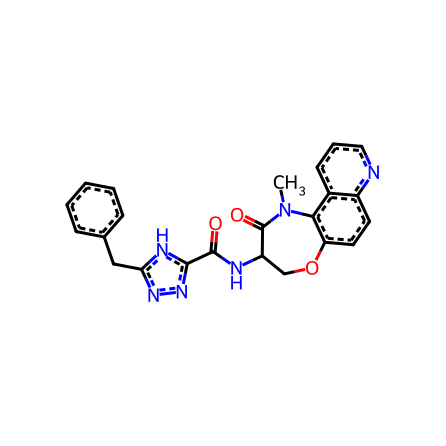 CN1C(=O)C(NC(=O)c2nnc(Cc3ccccc3)[nH]2)COc2ccc3ncccc3c21